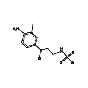 CCN(CCNS(=O)(=O)CC)c1ccc(N)c(C)c1